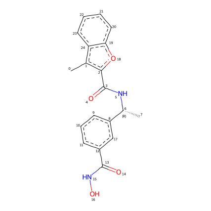 Cc1c(C(=O)N[C@H](C)c2cccc(C(=O)NO)c2)oc2ccccc12